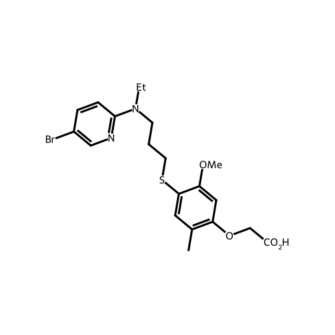 CCN(CCCSc1cc(C)c(OCC(=O)O)cc1OC)c1ccc(Br)cn1